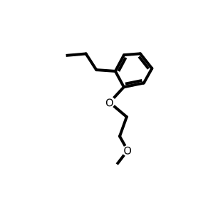 CCCc1ccccc1OCCOC